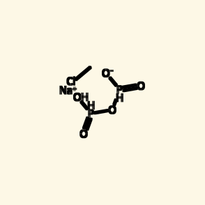 CCl.O=[PH]([O-])O[PH](=O)O.[Na+]